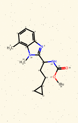 Cc1cccc2nc(C(CCC3CC3)NC(=O)OC(C)(C)C)n(C)c12